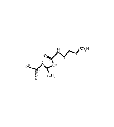 CC(OC(=O)NCCCS(=O)(=O)O)OC(=O)C(C)C